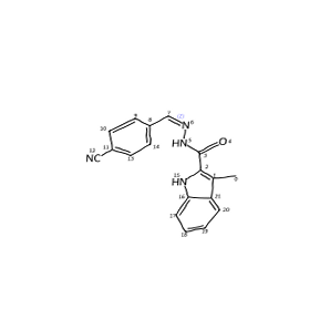 Cc1c(C(=O)N/N=C\c2ccc(C#N)cc2)[nH]c2ccccc12